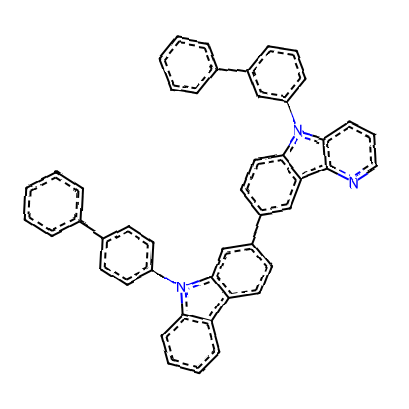 c1ccc(-c2ccc(-n3c4ccccc4c4ccc(-c5ccc6c(c5)c5ncccc5n6-c5cccc(-c6ccccc6)c5)cc43)cc2)cc1